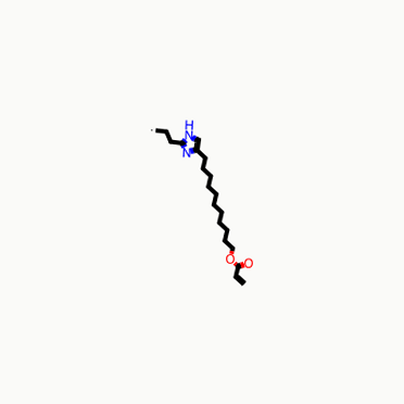 [CH2]CCc1nc(CCCCCCCCCCCOC(=O)C=C)c[nH]1